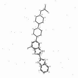 Cc1cc(C2CCN(C3CCN(CC(C)C)CC3)CC2)cc2[nH]c(-c3nc4ccccc4s3)nc12